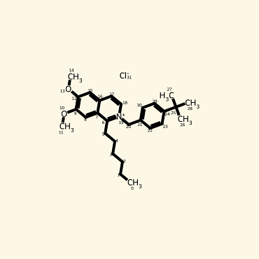 CCCCCCc1c2cc(OC)c(OC)cc2cc[n+]1Cc1ccc(C(C)(C)C)cc1.[Cl-]